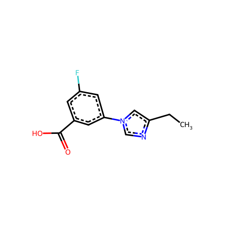 CCc1cn(-c2cc(F)cc(C(=O)O)c2)cn1